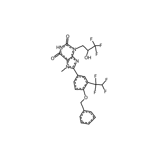 Cn1c(-c2ccc(OCc3ccccc3)c(C(F)(F)C(F)F)c2)nc2c1c(=O)[nH]c(=O)n2CC(O)C(F)(F)F